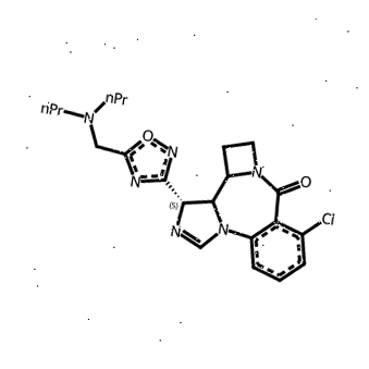 CCCN(CCC)Cc1nc([C@H]2N=CN3c4cccc(Cl)c4C(=O)N4CCC4C23)no1